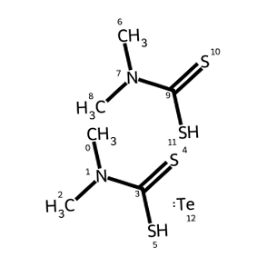 CN(C)C(=S)S.CN(C)C(=S)S.[Te]